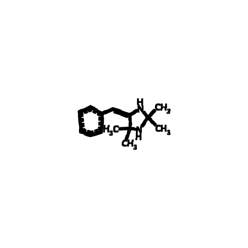 CC1(C)NC(=Cc2ccccc2)C(C)(C)N1